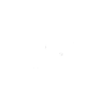 Cl.OCNOCO